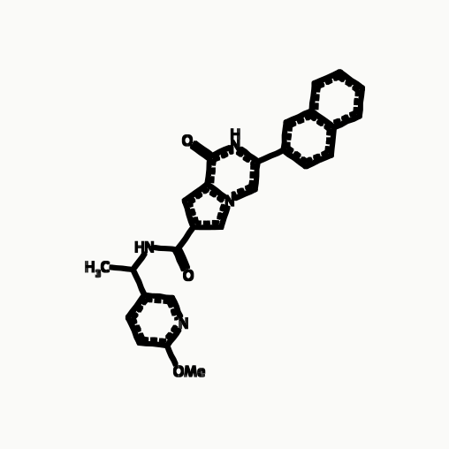 COc1ccc(C(C)NC(=O)c2cc3c(=O)[nH]c(-c4ccc5ccccc5c4)cn3c2)cn1